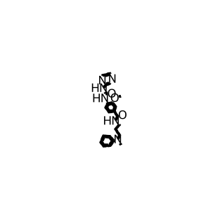 COc1cc(C(=O)NCCCN(C)c2ccccc2)ccc1NC(=O)Nc1cnccn1